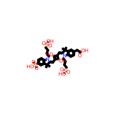 CC1(C)C(=CC2C(O)=C(C=C3N(CCCCS(=O)(=O)O)c4ccc(S(=O)(=O)O)cc4C3(C)C)C2O)N(CCCCS(=O)(=O)O)c2ccc(CC(=O)O)cc21